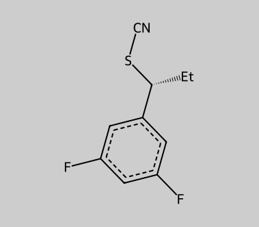 CC[C@@H](SC#N)c1cc(F)cc(F)c1